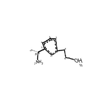 C[C@@H](N)c1cccc(CCO)c1